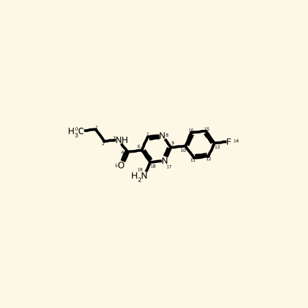 CCCNC(=O)c1cnc(-c2ccc(F)cc2)nc1N